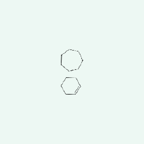 C1=CCCCC1.C1CCCCCC1